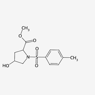 COC(=O)C1CC(O)CN1S(=O)(=O)c1ccc(C)cc1